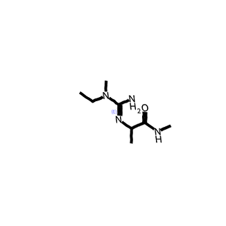 CCN(C)/C(N)=N/C(C)C(=O)NC